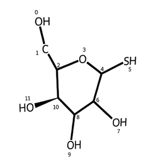 OCC1OC(S)C(O)C(O)[C@H]1O